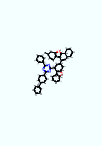 CC1C=Cc2c(oc3c2C(c2cc(-c4nc(-c5ccccc5)nc(-c5ccc(-c6ccccc6)cc5)n4)c4c(c2)oc2ccccc24)=CC2C=CC=CC32)C1